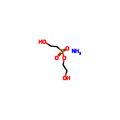 N.O=S(=O)(CCO)OCCO